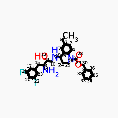 CCc1ccc2c(c1)C(NC[C@@H](O)[C@@H](N)Cc1cc(F)cc(F)c1)CCN2C(=O)OCc1ccccc1